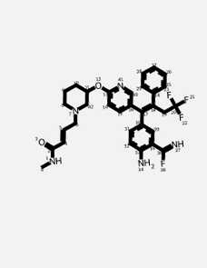 CNC(=O)/C=C/CN1CCCC(Oc2ccc(/C(=C(/CC(F)(F)F)c3ccccc3)c3ccc(N)c(C(=N)F)c3)cn2)C1